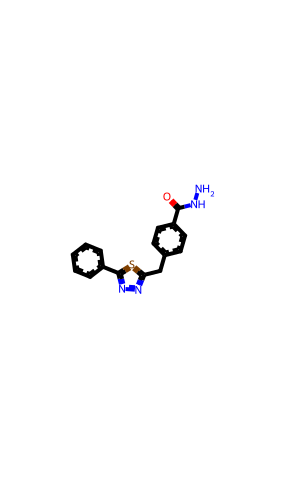 NNC(=O)c1ccc(Cc2nnc(-c3ccccc3)s2)cc1